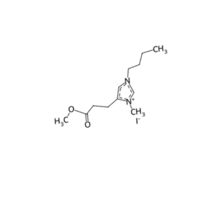 CCCCn1cc(CCC(=O)OC)[n+](C)c1.[I-]